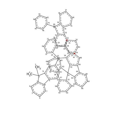 CC1(C)c2ccccc2-c2ccc(N(c3ccccc3-c3ccccc3)c3c(-c4ccc5c(c4)c4ccccc4n5-c4ccccc4)ccc4c3C3(c5ccccc5-c5ccccc53)c3ccccc3-4)cc21